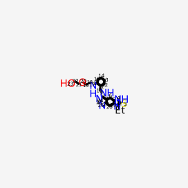 CCn1c(=S)[nH]c2cc3c(NCc4ccccc4NCCOCCO)ncnc3cc21